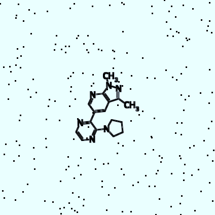 Cc1nn(C)c2ncc(-c3nccnc3N3CCCC3)cc12